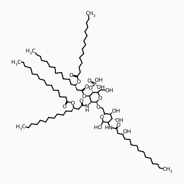 CCCCCCCCCCCCCCC(=O)O[C@H](CCCCCCCCCCCC)CC(=O)N[C@H]1C(OC(=O)C[C@@H](CCCCCCCCCCCC)OC(=O)CCCCCCCCCCCCCC)[C@H](OP(=O)(O)O)C(CO)O[C@H]1OCC1OC(O)C(NC(=O)C[C@H](O)CCCCCCCCCCCC)[C@@H](O)[C@@H]1O